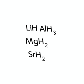 [AlH3].[LiH].[MgH2].[SrH2]